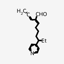 C=C=CC(C=O)=CCCCC(CC)c1ccncc1